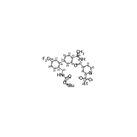 CCS(=O)(=O)c1cc(C(=O)N[C@H](C)c2ccc(-c3cc(C(F)(F)F)ccc3CNC(=O)OC(C)(C)C)cc2)ccn1